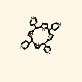 C1=CC2=C(c3ccncc3)C3=NC(=C(c4ccncc4)C4=NC(=C(c5ccncc5)C5=NC(=C(c6ccncc6)C1=N2)C=C5)C=C4)C=C3